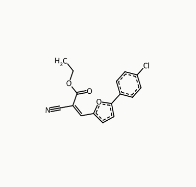 CCOC(=O)C(C#N)=Cc1ccc(-c2ccc(Cl)cc2)o1